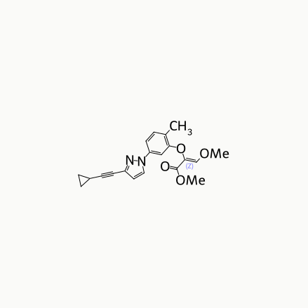 CO/C=C(\Oc1cc(-n2ccc(C#CC3CC3)n2)ccc1C)C(=O)OC